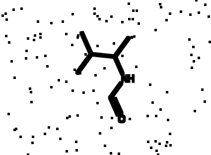 [CH2]C(NC=O)C(C)C